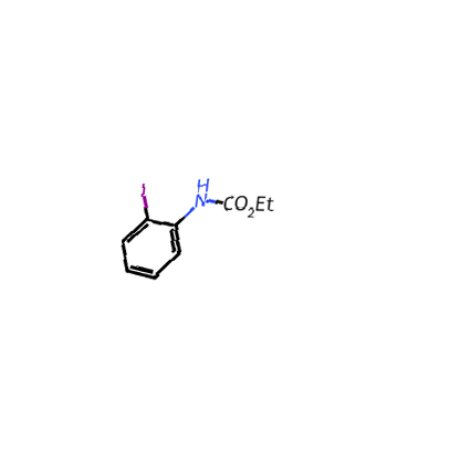 C[CH]OC(=O)Nc1ccccc1I